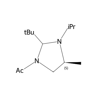 CC(=O)N1C[C@H](C)N(C(C)C)C1C(C)(C)C